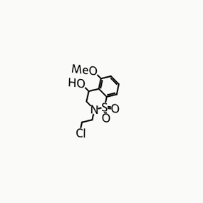 COc1cccc2c1C(O)CN(CCCl)S2(=O)=O